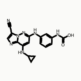 N#Cc1cnc2c(NC3CC3)cc(Nc3cccc(NC(=O)O)c3)nn12